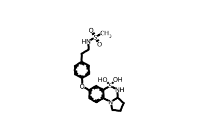 CS(=O)(=O)NCCc1ccc(Oc2ccc3c(c2)S(O)(O)NC2CCCN32)cc1